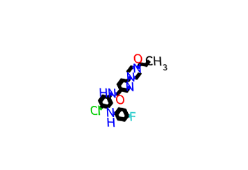 CCC(=O)N1CCN(c2ccc(C(=O)Nc3ccc(Cl)c(Nc4ccc(F)cc4)c3)cn2)CC1